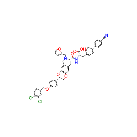 N#Cc1ccc(-c2ccc(CC(NC(=O)[C@@H]3Cc4cc5c(cc4CN3Cc3ccco3)O[C@@H](c3ccc(OCc4ccc(Cl)c(Cl)c4)cc3)CO5)C(=O)O)cc2)cc1